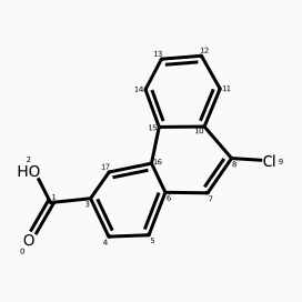 O=C(O)c1ccc2cc(Cl)c3ccccc3c2c1